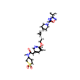 Cc1cc(CC(=O)N(C)C2CCS(=O)(=O)C2)cnc1OCC[C@@H]1C[C@@H]1C1CCN(c2nc(C(C)C)no2)CC1